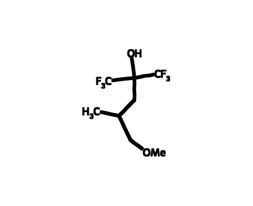 COCC(C)CC(O)(C(F)(F)F)C(F)(F)F